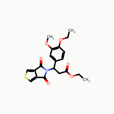 CCOC(=O)CC(c1ccc(OCC)c(OC)c1)N1C(=O)c2cscc2C1=O